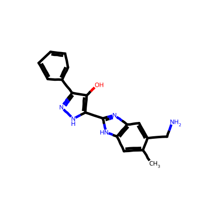 Cc1cc2[nH]c(-c3[nH]nc(-c4ccccc4)c3O)nc2cc1CN